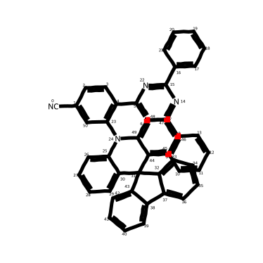 N#Cc1ccc(-c2nc(-c3ccccc3)nc(-c3ccccc3)n2)c(N2c3ccccc3C3(c4ccccc4-c4ccccc43)c3ccccc32)c1